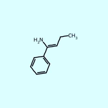 CCC=C(N)c1ccccc1